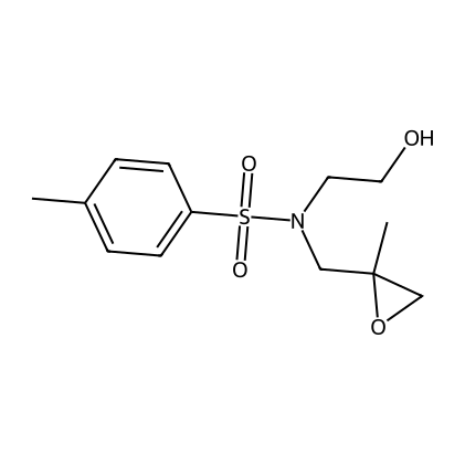 Cc1ccc(S(=O)(=O)N(CCO)CC2(C)CO2)cc1